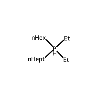 CCCCCCC[PH](CC)(CC)CCCCCC